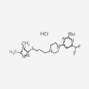 Cc1nnc(SCCCN2CCN(c3cc(C(F)F)nc(C(C)(C)C)n3)CC2)n1C.Cl